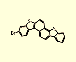 Brc1ccc2c(c1)sc1ccc3c(ccc4c5ccccc5sc43)c12